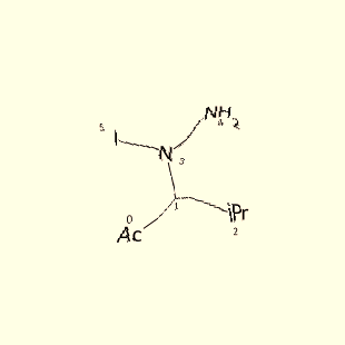 CC(=O)C(C(C)C)N(N)I